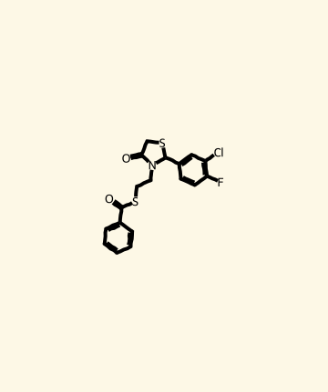 O=C(SCCN1C(=O)CSC1c1ccc(F)c(Cl)c1)c1ccccc1